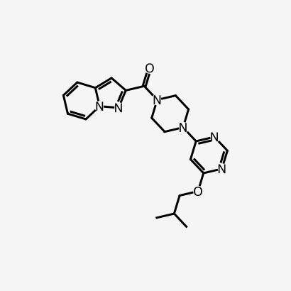 CC(C)COc1cc(N2CCN(C(=O)c3cc4ccccn4n3)CC2)ncn1